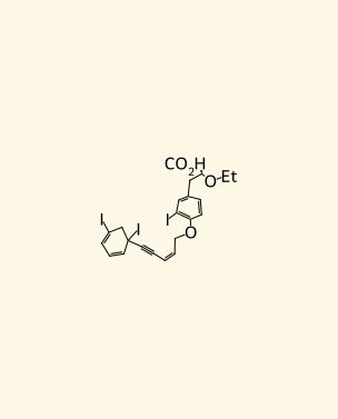 CCO[C@@H](Cc1ccc(OC/C=C\C#CC2(I)C=CC=C(I)C2)c(I)c1)C(=O)O